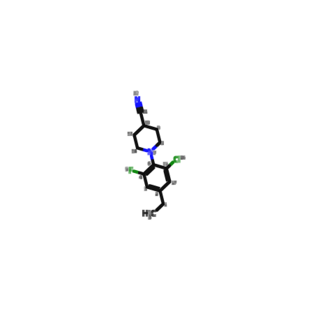 CCc1cc(F)c(N2CCC(C#N)CC2)c(Cl)c1